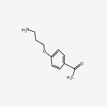 CC(=O)c1ccc(OCCCN)cc1